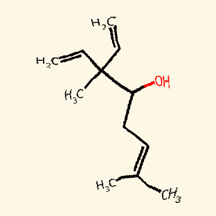 C=CC(C)(C=C)C(O)CC=C(C)C